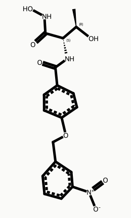 C[C@@H](O)[C@H](NC(=O)c1ccc(OCc2cccc([N+](=O)[O-])c2)cc1)C(=O)NO